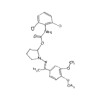 COc1ccc(/C(C)=N/N2CCCC2OC(=O)Nc2c(Cl)cccc2Cl)cc1OC